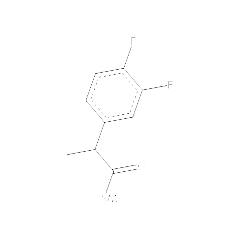 CSC(=O)C(C)c1ccc(F)c(F)c1